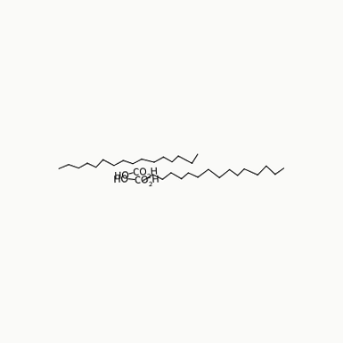 CCCCCCCCCCCCCCCC.CCCCCCCCCCCCCCCC.O=C(O)O.O=C(O)O